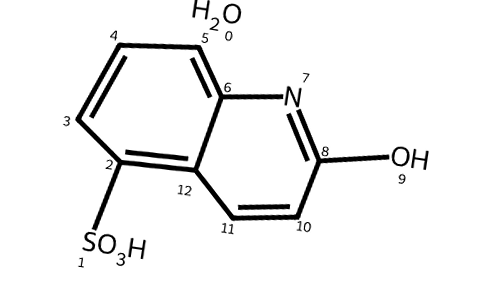 O.O=S(=O)(O)c1cccc2nc(O)ccc12